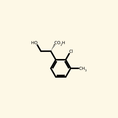 Cc1cccc([C@H](CO)C(=O)O)c1Cl